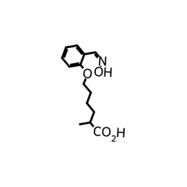 CC(CCCCOc1ccccc1/C=N\O)C(=O)O